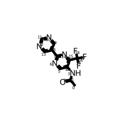 CC(=O)Nc1cnc(-c2cncnc2)nc1C(F)(F)F